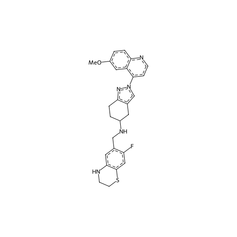 COc1ccc2nccc(-n3cc4c(n3)CCC(NCc3cc5c(cc3F)SCCN5)C4)c2c1